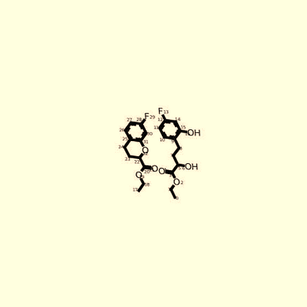 CCOC(=O)C(O)CCc1ccc(F)cc1O.CCOC(=O)C1CCc2ccc(F)cc2O1